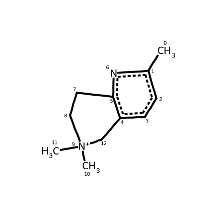 Cc1ccc2c(n1)CC[N+](C)(C)C2